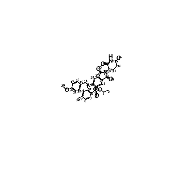 CCOS(=O)(=O)c1ccc(C)cc1N(Cc1ccc(OC)cc1)c1ccc2c(c1)C(=O)N(C1CCC(=O)NC1=O)C2=O